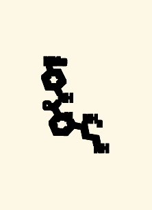 CNc1ccc(NC(=O)c2cccc(/C(N)=C/C=N)n2)cc1